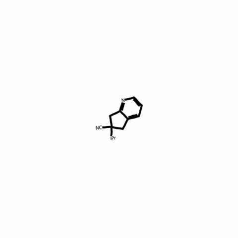 CC(C)C1(C#N)Cc2cccnc2C1